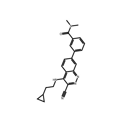 CN(C)C(=O)c1cccc(-c2ccc3c(NCCC4CC4)c(C#N)nnc3c2)c1